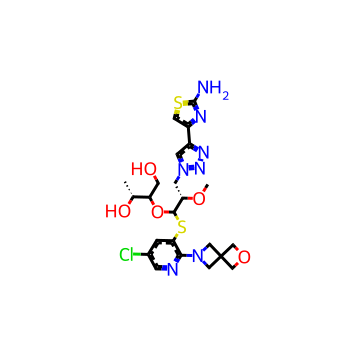 CO[C@@H](Cn1cc(-c2csc(N)n2)nn1)C(OC(CO)[C@@H](C)O)Sc1cc(Cl)cnc1N1CC2(COC2)C1